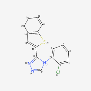 Clc1ccccc1-n1cnnc1-c1cc2c(s1)C=CCC2